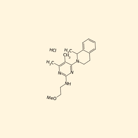 COCCNc1nc(C)c(C)c(N2CCc3ccccc3C2C)n1.Cl